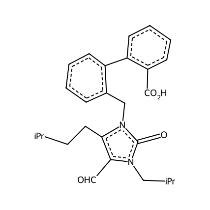 CC(C)CCc1c(C=O)n(CC(C)C)c(=O)n1Cc1ccccc1-c1ccccc1C(=O)O